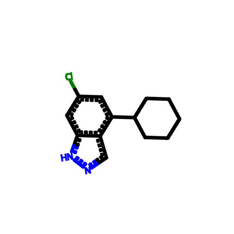 Clc1cc(C2CCCCC2)c2cn[nH]c2c1